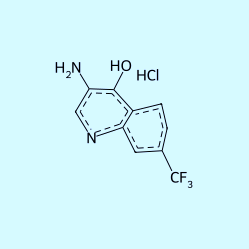 Cl.Nc1cnc2cc(C(F)(F)F)ccc2c1O